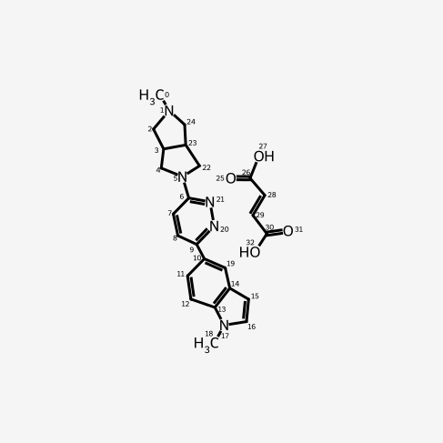 CN1CC2CN(c3ccc(-c4ccc5c(ccn5C)c4)nn3)CC2C1.O=C(O)/C=C/C(=O)O